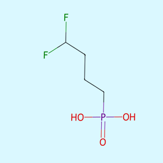 O=P(O)(O)CCCC(F)F